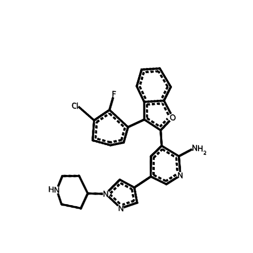 Nc1ncc(-c2cnn(C3CCNCC3)c2)cc1-c1oc2ccccc2c1-c1cccc(Cl)c1F